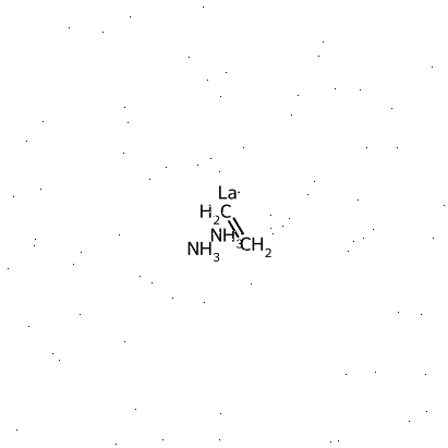 C=C.N.N.[La]